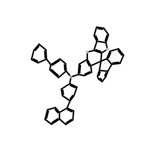 c1ccc(-c2ccc(N(c3ccc(-c4cccc5ccccc45)cc3)c3ccc4c(c3)Oc3c(oc5ccccc35)C43c4ccccc4-c4ccccc43)cc2)cc1